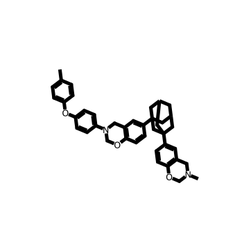 Cc1ccc(Oc2ccc(N3COc4ccc(C56CC7CC(CC(c8ccc9c(c8)CN(C)CO9)(C7)C5)C6)cc4C3)cc2)cc1